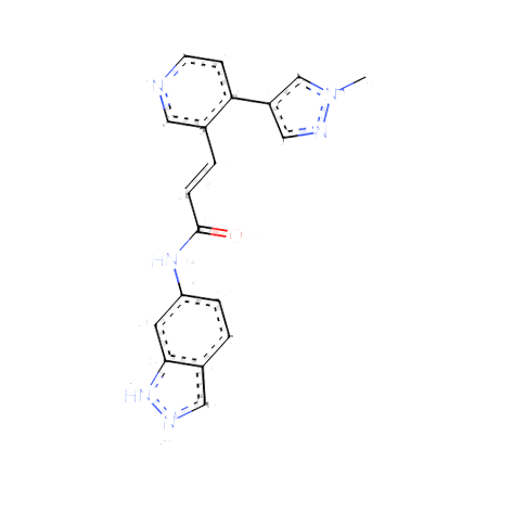 Cn1cc(-c2ccncc2/C=C/C(=O)Nc2ccc3cn[nH]c3c2)cn1